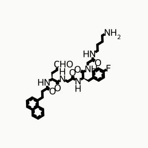 NCCCCNC(=O)CNC(=O)[C@@H](Cc1ccc(F)cc1)NC(=O)CNC(=O)[C@H](CCC=O)NC(=O)CCc1cccc2ccccc12